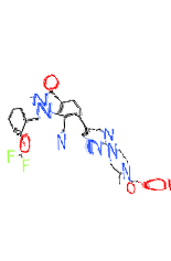 CC1CN(c2ncc(-c3ccc4c(=O)n(C)n(Cc5ccccc5OC(F)F)c4c3C#N)cn2)CCN1C(=O)CO